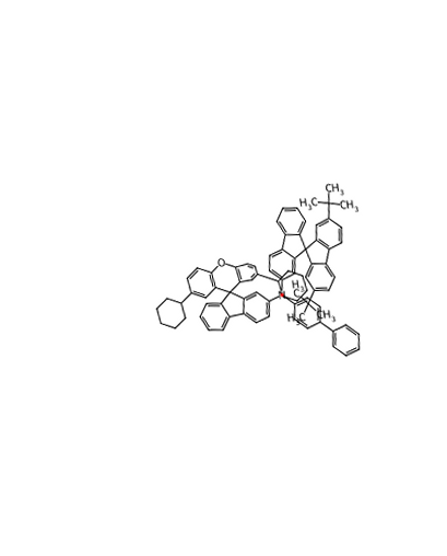 CC(C)(C)c1ccc2c(c1)C1(c3ccccc3-c3ccc(N(c4ccc(-c5ccccc5)cc4)c4ccc5c(c4)C4(c6cc(C7CCCCC7)ccc6Oc6ccc(C7CCCCC7)cc64)c4ccccc4-5)cc31)c1cc(C(C)(C)C)ccc1-2